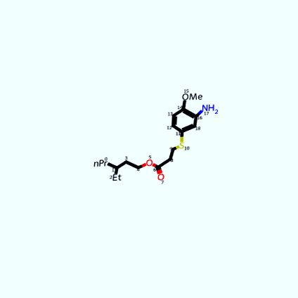 CCCC(CC)CCOC(=O)CCSc1ccc(OC)c(N)c1